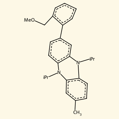 COCc1ccccc1-c1ccc2c(c1)N(C(C)C)c1ccc(C)cc1N2C(C)C